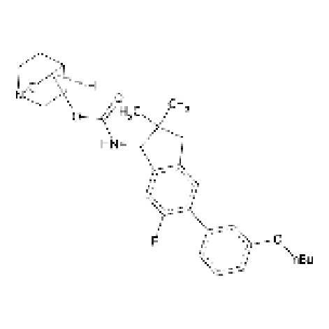 CCCCOc1cccc(-c2cc3c(cc2F)[C@H](NC(=O)O[C@H]2CN4CCC2CC4)C(C)(C)C3)c1